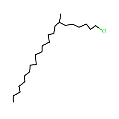 CCCCCCCCCCCCCCCCC(C)CCCCCCCl